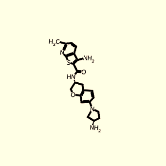 Cc1ccc2c(N)c(C(=O)N[C@H]3COc4cc(N5CC[C@@H](N)C5)ccc4C3)sc2n1